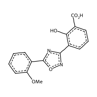 COc1ccccc1-c1nc(-c2cccc(C(=O)O)c2O)no1